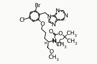 COC[C@@H](CCCOc1cc(Cl)cc(Br)c1Cn1cnc2[c]ncnc21)N(C)C(=O)OC(C)(C)C